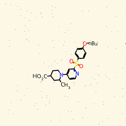 CCCCOc1ccc(S(=O)(=O)c2cc(N3CCC(C(=O)O)CC3C)ccn2)cc1